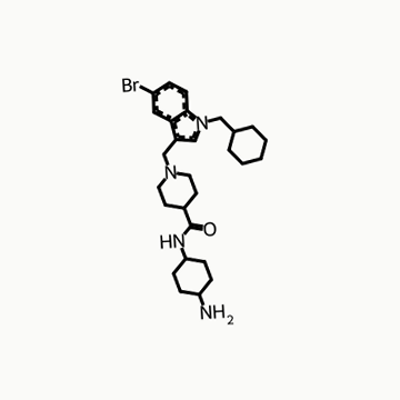 NC1CCC(NC(=O)C2CCN(Cc3cn(CC4CCCCC4)c4ccc(Br)cc34)CC2)CC1